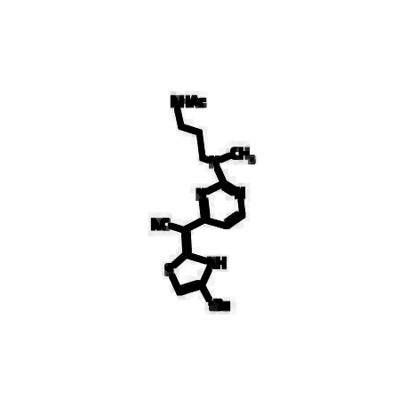 CC(=O)NCCCN(C)c1nccc(C(C#N)=C2NC(C(C)(C)C)=CS2)n1